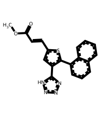 COC(=O)/C=C/c1cc(-c2nnn[nH]2)c(-c2cccc3ccccc23)s1